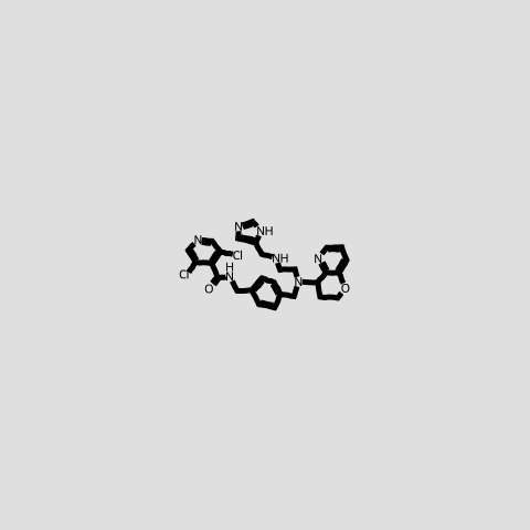 O=C(NCc1ccc(CN(CCNCc2cnc[nH]2)C2CCOc3cccnc32)cc1)c1c(Cl)cncc1Cl